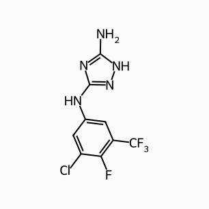 Nc1nc(Nc2cc(Cl)c(F)c(C(F)(F)F)c2)n[nH]1